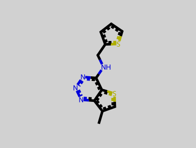 Cc1csc2c(NCc3cccs3)nnnc12